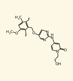 COc1cc(C)c(F)c(COc2cnc(Nc3ccn(CCO)c(=O)c3)nc2)c1F